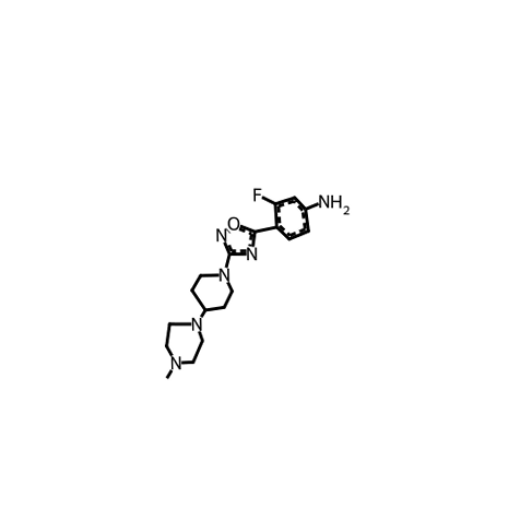 CN1CCN(C2CCN(c3noc(-c4ccc(N)cc4F)n3)CC2)CC1